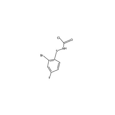 O=C(Cl)NSc1ccc(F)cc1Br